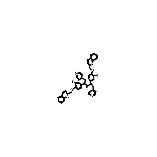 O=C(C(Cc1ccncc1)c1ccc(OCc2ccc3ccccc3n2)c(F)c1)C(Cc1ccncc1)c1ccc(OCc2ccc3ccccc3n2)c(F)c1